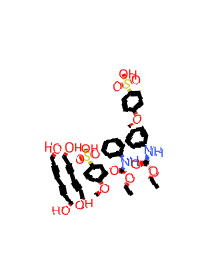 CCOC(=O)Nc1ccccc1.CCOC(=O)Nc1ccccc1.COc1ccc(S(=O)(=O)O)cc1.COc1ccc(S(=O)(=O)O)cc1.OCC#CC#CCO.OCC#CC#CCO